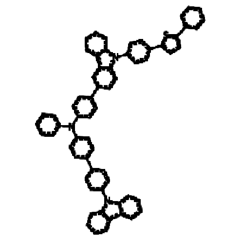 c1ccc(-c2ccc(-c3ccc(-n4c5ccccc5c5cc(-c6ccc(N(c7ccccc7)c7ccc(-c8ccc(-n9c%10ccccc%10c%10ccccc%109)cc8)cc7)cc6)ccc54)cc3)s2)cc1